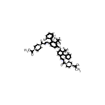 CC(=O)N1CCN(C(=O)/C=C/c2ccc(Sc3ccc(/C=C/C(=O)N4CCN(C(C)=O)CC4)c(-c4ccccc4Br)c3C(F)(F)F)c(C(F)(F)F)c2-c2ccccc2Br)CC1